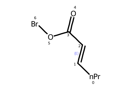 CCC/C=C/C(=O)OBr